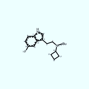 CCC(C)N(CCc1c[nH]c2ccc(F)cc12)C1CCC1